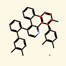 Cc1ccc(-c2ccccc2-c2ccnc(-c3ccccc3-c3ccc(C)c(C)c3)c2-c2ccccc2-c2ccc(C)c(C)c2)cc1C.[Ir]